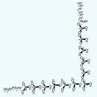 [H+].[H+].[H+].[H+].[H+].[H+].[H+].[H+].[H+].[H+].[H+].[H+].[NaH].[O-]B([O-])[O-].[O-]B([O-])[O-].[O-]B([O-])[O-].[O-]B([O-])[O-].[O-]B([O-])[O-].[O-]B([O-])[O-].[O-]B([O-])[O-].[O-]B([O-])[O-].[O-]B([O-])[O-].[O-]B([O-])[O-].[O-]B([O-])[O-].[O-]B([O-])[O-]